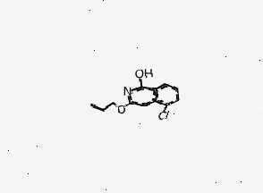 CCCOc1cc2c(Cl)cccc2c(O)n1